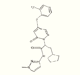 Cn1ccc(NC(=O)C(CC2CCCC2)n2ncc(Oc3ccccc3C(F)(F)F)cc2=O)n1